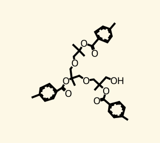 Cc1ccc(C(=O)OC(C)(C)COCC(C)(COCC(C)(CO)OC(=O)c2ccc(C)cc2)OC(=O)c2ccc(C)cc2)cc1